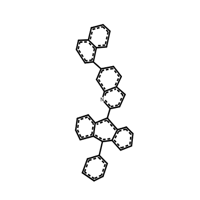 c1ccc(-c2c3ccccc3c(-c3ccc4ccc(-c5cccc6ccccc56)cc4n3)c3ccccc23)cc1